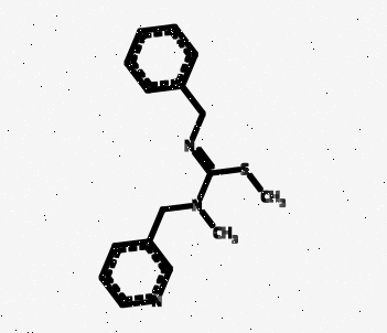 CSC(=NCc1ccccc1)N(C)Cc1cccnc1